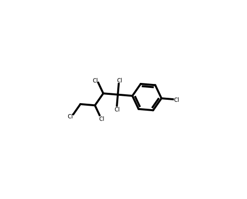 ClCC(Cl)C(Cl)C(Cl)(Cl)c1ccc(Cl)cc1